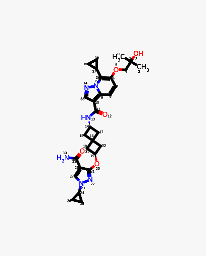 CC(C)(O)COc1ccc2c(C(=O)N[C@H]3CC4(C3)C[C@H](Oc3nn(C5CC5)cc3C(N)=O)C4)cnn2c1C1CC1